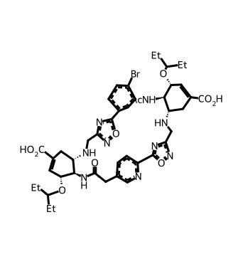 CCC(CC)O[C@@H]1C=C(C(=O)O)C[C@H](NCc2noc(-c3ccc(CC(=O)N[C@@H]4[C@@H](NCc5noc(-c6ccc(Br)cc6)n5)CC(C(=O)O)=C[C@H]4OC(CC)CC)cn3)n2)[C@H]1NC(C)=O